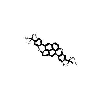 CC(C)(C)c1ccc2c(c1)oc1ccc3cc4c5ccc(C(C)(C)C)cc5oc5ccc6cc2c1c3c6c54